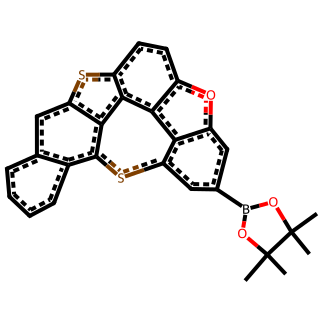 CC1(C)OB(c2cc3oc4ccc5sc6cc7ccccc7c7sc(c2)c3c4c5c67)OC1(C)C